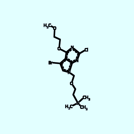 COCCOc1nc(Cl)nc2c1c(Br)cn2COCC[Si](C)(C)C